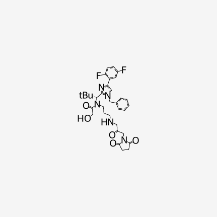 CC(C)(C)[C@H](c1nc(-c2cc(F)ccc2F)cn1Cc1ccccc1)N(CCCNCC(=O)CN1C(=O)CCC1=O)C(=O)CO